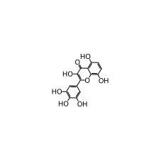 O=c1c(O)c(-c2cc(O)c(O)c(O)c2)oc2c(O)ccc(O)c12